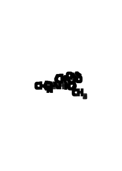 Cc1cnc(C(=O)N2CCCC(Nc3ccc(Cl)cn3)C2)c(-c2ncco2)c1